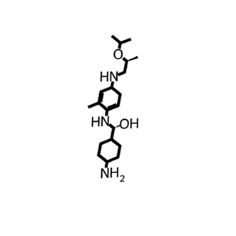 CC1=CC(NC[C@H](C)OC(C)C)CC=C1N[C@H](O)C1CCC(N)CC1